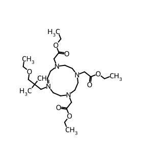 CCOCC(C)(C)CN1CCN(CC(=O)OCC)CCN(CC(=O)OCC)CCN(CC(=O)OCC)CC1